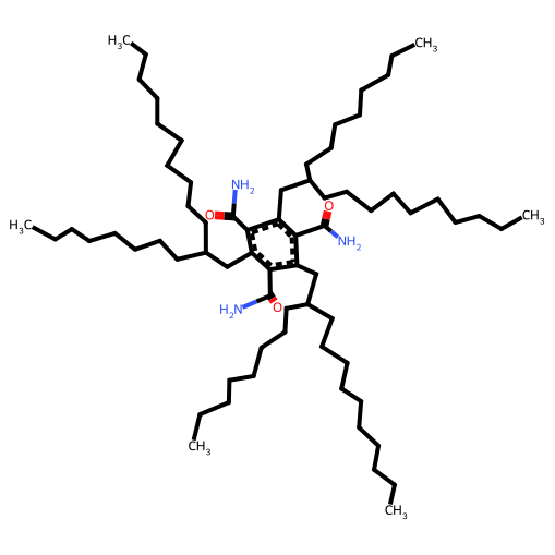 CCCCCCCCCCC(CCCCCCCC)Cc1c(C(N)=O)c(CC(CCCCCCCC)CCCCCCCCCC)c(C(N)=O)c(CC(CCCCCCCC)CCCCCCCCCC)c1C(N)=O